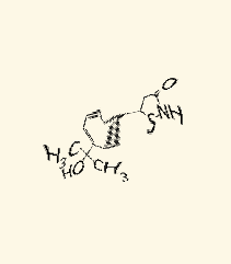 CC(C)(O)c1cccc(C2CC(=O)NS2)c1